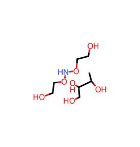 CC(O)C(O)CO.OCCONOCCO